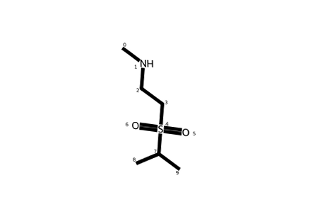 CNCCS(=O)(=O)C(C)C